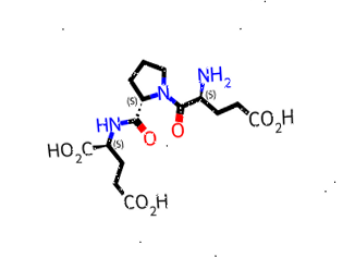 N[C@@H](CCC(=O)O)C(=O)N1CCC[C@H]1C(=O)N[C@@H](CCC(=O)O)C(=O)O